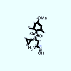 COc1cc(C)c(S(=O)(=O)N(C/C(N)=N/O)C2CC2)c(C)c1